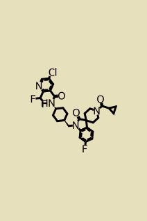 O=C(N[C@H]1CC[C@H](CN2C(=O)C3(CCN(C(=O)C4CC4)CC3)c3ccc(F)cc32)CC1)c1cc(Cl)cnc1C(F)F